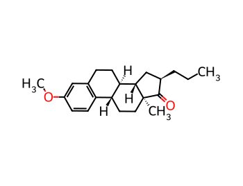 CCC[C@@H]1C[C@H]2[C@@H]3CCc4cc(OC)ccc4[C@H]3CC[C@]2(C)C1=O